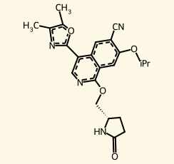 Cc1nc(-c2cnc(OC[C@@H]3CCC(=O)N3)c3cc(OC(C)C)c(C#N)cc23)oc1C